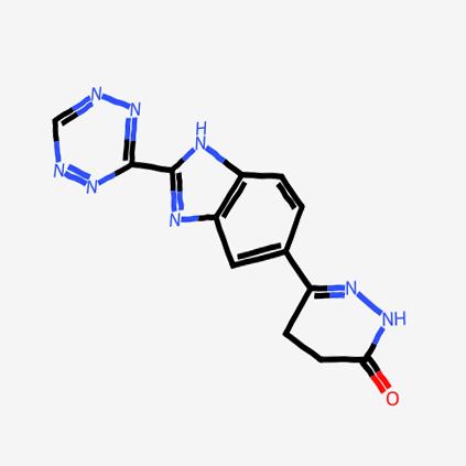 O=C1CCC(c2ccc3[nH]c(-c4nncnn4)nc3c2)=NN1